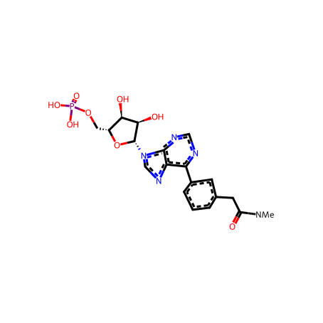 CNC(=O)Cc1cccc(-c2ncnc3c2ncn3[C@@H]2O[C@H](COP(=O)(O)O)[C@@H](O)[C@H]2O)c1